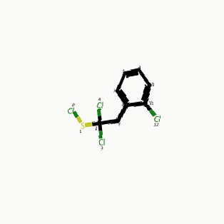 ClSC(Cl)(Cl)Cc1ccccc1Cl